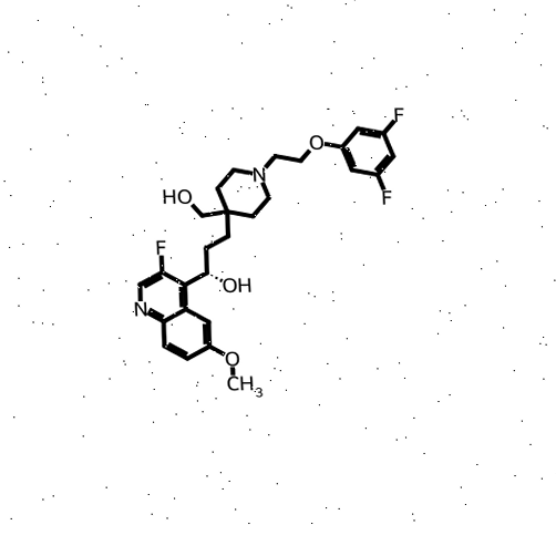 COc1ccc2ncc(F)c([C@@H](O)CCC3(CO)CCN(CCOc4cc(F)cc(F)c4)CC3)c2c1